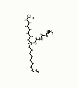 CCCCCCCCN(CCCCCCCC)CCNCCN